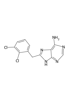 Nc1ncnc2[nH]c(Cc3cccc(Cl)c3Cl)nc12